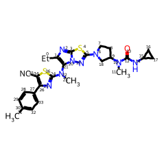 CCc1nc2sc(N3CCC(N(C)C(=O)NC4CC4)C3)nn2c1N(C)c1nc(-c2ccc(C)cc2)c(C#N)s1